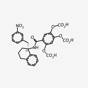 O=C(O)Oc1cc(OC(=O)O)c(C(=O)N[C@]2(Cc3cccc([N+](=O)[O-])c3)CCCc3ccccc32)cc1OC(=O)O